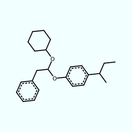 CCC(C)c1ccc(OC(Cc2ccccc2)OC2CCCCC2)cc1